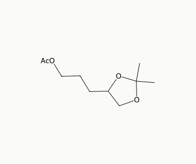 CC(=O)OCCCC1COC(C)(C)O1